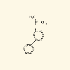 CN(C)Cc1cccc(-c2ccncc2)c1